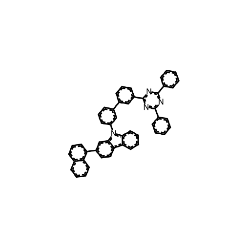 c1ccc(-c2nc(-c3ccccc3)nc(-c3cccc(-c4cccc(-n5c6ccccc6c6ccc(-c7cccc8ccccc78)cc65)c4)c3)n2)cc1